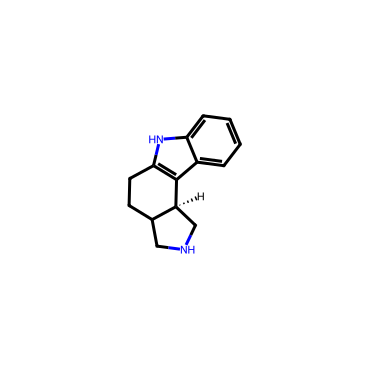 c1ccc2c3c([nH]c2c1)CCC1CNC[C@H]31